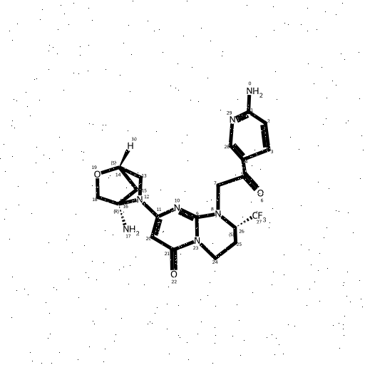 Nc1ccc(C(=O)CN2c3nc(N4C[C@@H]5C[C@]4(N)CO5)cc(=O)n3CC[C@H]2C(F)(F)F)cn1